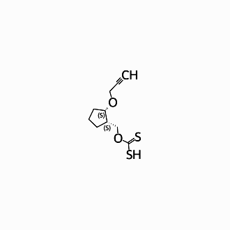 C#CCO[C@H]1CCC[C@H]1COC(=S)S